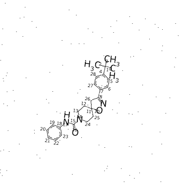 CC(C)(C)c1ccc(C2=NOC3(CCN(C(=O)Nc4ccccc4)CC3)C2)cc1